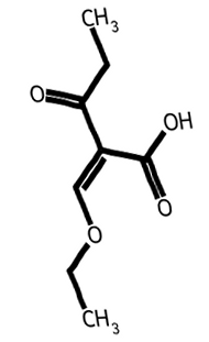 CCOC=C(C(=O)O)C(=O)CC